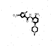 CN1CCN(c2ccc(N)c(NC(=O)c3cc([N+](=O)[O-])cn3C)n2)CC1